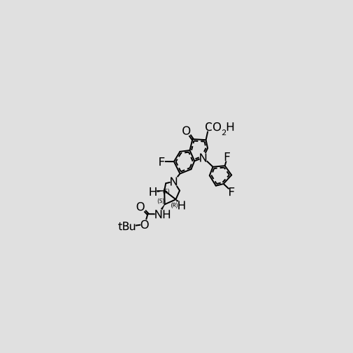 CC(C)(C)OC(=O)N[C@H]1[C@@H]2CN(c3cc4c(cc3F)c(=O)c(C(=O)O)cn4-c3ccc(F)cc3F)C[C@@H]21